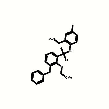 CCC(C)(Pc1ccc(C)cc1CNC)c1cccc(Cc2ccccc2)c1OCOC